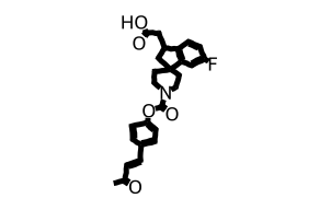 CC(=O)C=Cc1ccc(OC(=O)N2CCC3(CC2)CC(CC(=O)O)c2ccc(F)cc23)cc1